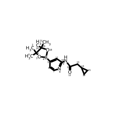 CC1(C)OB(c2ccnc(NC(=O)CC3CC3)c2)OC1(C)C